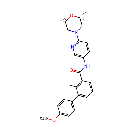 Cc1c(C(=O)Nc2ccc(N3C[C@@H](C)O[C@@H](C)C3)nc2)cccc1-c1ccc(OC(C)(C)C)cc1